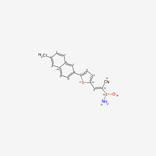 Cc1ccc2cc(-c3ccc(/C=C(\C#N)[S+](N)[O-])s3)ccc2c1